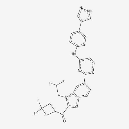 O=C(c1cc2ccc(-c3nccc(Nc4ccc(-c5cn[nH]c5)cc4)n3)cc2n1CC(F)F)C1CC(F)(F)C1